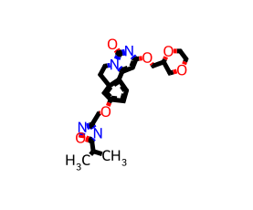 CC(C)c1nc(COc2ccc3c(c2)CCn2c-3cc(OCC3COCCO3)nc2=O)no1